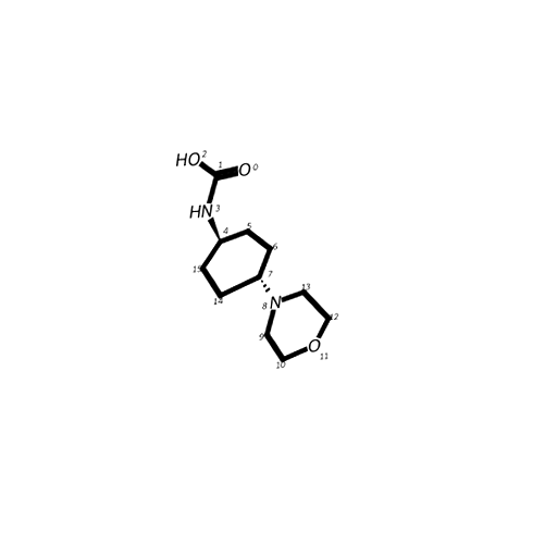 O=C(O)N[C@H]1CC[C@H](N2CCOCC2)CC1